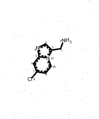 NCc1cnc2cc(Cl)ccn12